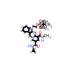 CNC(=O)c1cc(C(=O)NC2CC2)cn(Cc2cn(CCO[Si](C)(C)C(C)(C)C)c3ccccc23)c1=O